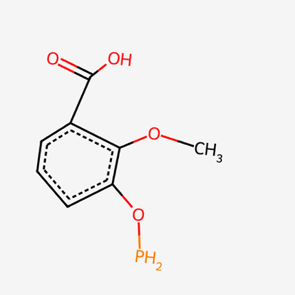 COc1c(OP)cccc1C(=O)O